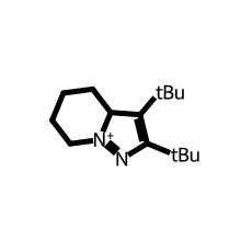 CC(C)(C)C1=C(C(C)(C)C)C2CCCC[N+]2=N1